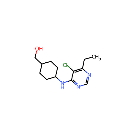 CCc1ncnc(NC2CCC(CO)CC2)c1Cl